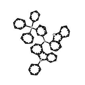 c1ccc(-n2c3ccccc3c3c(N(c4cccc([Si](c5ccccc5)(c5ccccc5)c5ccccc5)c4)c4cccc5c4oc4ccccc45)cccc32)cc1